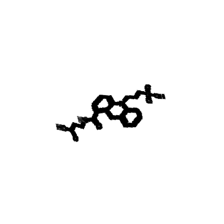 O=C(O)CCNC(=O)c1cccc2c1Cc1ccccc1N2CCCS(=O)(=O)O